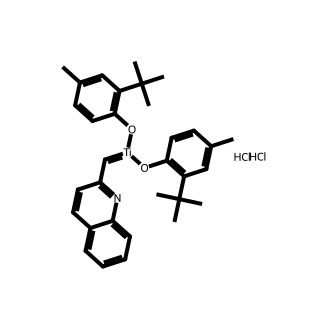 Cc1ccc([O][Ti](=[CH]c2ccc3ccccc3n2)[O]c2ccc(C)cc2C(C)(C)C)c(C(C)(C)C)c1.Cl.Cl